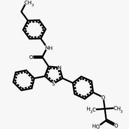 CCc1ccc(NC(=O)c2nc(-c3ccc(OC(C)(C)C(=O)O)cc3)sc2-c2ccccc2)cc1